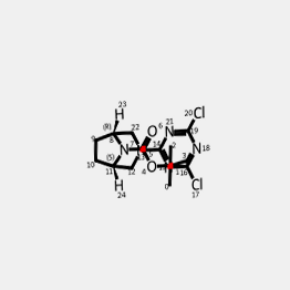 CC(C)(C)OC(=O)N1[C@@H]2CC[C@H]1CN(c1nc(Cl)nc(Cl)n1)C2